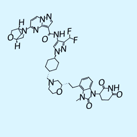 Cn1c(=O)n(C2CCC(=O)NC2=O)c2cccc(CC[C@H]3CN(C[C@H]4CC[C@H](n5cc(NC(=O)c6cnn7ccc(N8C[C@H]9C[C@@H]8CO9)nc67)c(C(F)F)n5)CC4)CCO3)c21